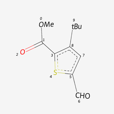 COC(=O)c1sc(C=O)cc1C(C)(C)C